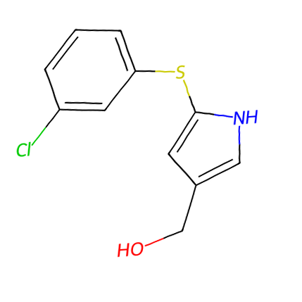 OCc1c[nH]c(Sc2cccc(Cl)c2)c1